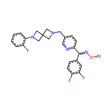 CCON=C(c1ccc(F)c(F)c1)c1ccc(CN2CC3(C2)CN(c2ccccc2F)C3)cn1